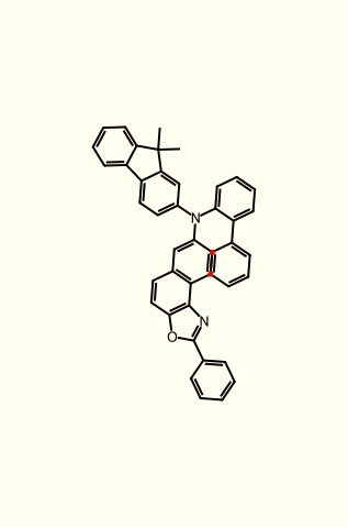 CC1(C)c2ccccc2-c2ccc(N(c3ccc4c(ccc5oc(-c6ccccc6)nc54)c3)c3ccccc3-c3ccccc3)cc21